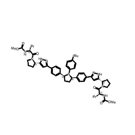 COC(=O)N[C@H](C(=O)N1CCC[C@H]1c1cc(-c2ccc([C@H]3CC[C@@H](c4ccc(-c5cc([C@@H]6CCCN6C(=O)[C@@H](NC(=O)OC)C(C)C)[nH]n5)cc4)N3c3ccc(C(C)(C)C)cc3)cc2)n[nH]1)C(C)C